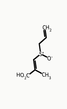 C=CC[S+]([O-])C=C(C)C(=O)O